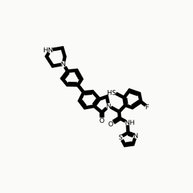 O=C(Nc1nccs1)C(c1cc(F)ccc1S)N1Cc2cc(-c3ccc(N4CCNCC4)cc3)ccc2C1=O